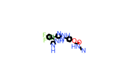 CN(C)CCNC(=O)COc1ccc(-c2nc3c(N[C@@]4(Cc5ccc(F)c(F)c5)CCNC4)c(Cl)cnc3[nH]2)cc1